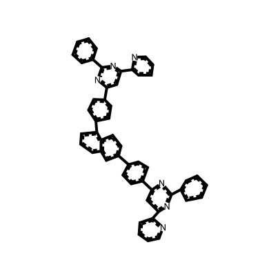 c1ccc(-c2nc(-c3ccc(-c4ccc5c(-c6ccc(-c7cc(-c8ccccn8)nc(-c8ccccc8)n7)cc6)cccc5c4)cc3)cc(-c3ccccn3)n2)cc1